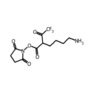 NCCCCC(C(=O)ON1C(=O)CCC1=O)C(=O)C(F)(F)F